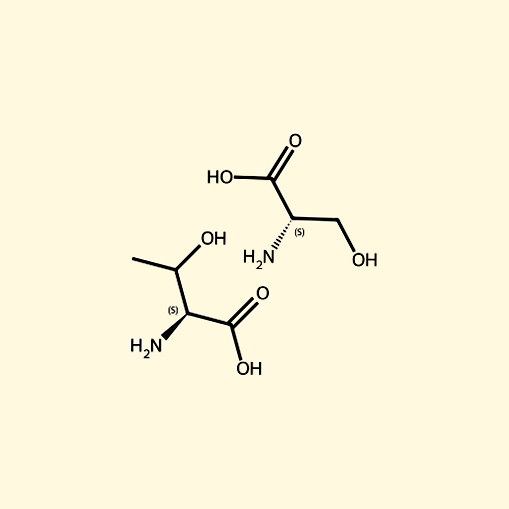 CC(O)[C@H](N)C(=O)O.N[C@@H](CO)C(=O)O